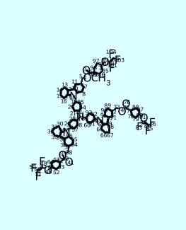 C[C@]1(C(=O)OCc2ccc3c(c2)c2ccccc2n3-c2ccc(N(c3ccc(-n4c5ccccc5c5cc(COC(=O)c6ccc(OC(F)=C(F)F)cc6)ccc54)cc3)c3ccc(-n4c5ccccc5c5cc(COC(=O)c6ccc(OC(F)=C(F)F)cc6)ccc54)cc3)cc2)C=CC(OC(F)=C(F)F)=CC1